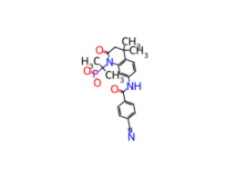 CC1(C)CC(=O)N(C(C)(C)P(=O)=O)c2cc(NC(=O)c3ccc(C#N)cc3)ccc21